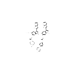 COc1cc2c(-c3cc4cccnc4[nH]3)cn(C)c2cc1OCC(=O)N1CCCN(C)CC1.COc1cc2c(-c3cc4cccnc4[nH]3)cn(C)c2cc1OCC(=O)Nc1ccc(N2CCN(C)CC2)cc1